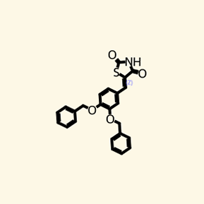 O=C1NC(=O)/C(=C/c2ccc(OCc3ccccc3)c(OCc3ccccc3)c2)S1